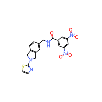 O=C(NCc1ccc2c(c1)CN(c1nccs1)C2)c1cc([N+](=O)[O-])cc([N+](=O)[O-])c1